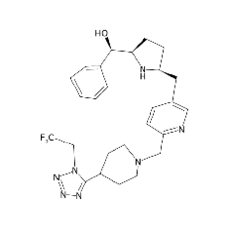 O[C@H](c1ccccc1)[C@H]1CC[C@@H](Cc2ccc(CN3CCC(c4nnnn4CC(F)(F)F)CC3)nc2)N1